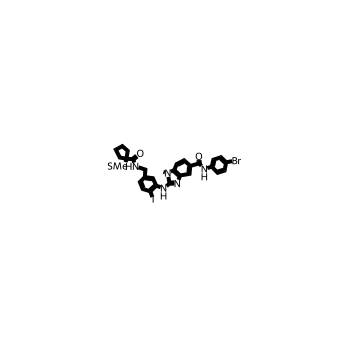 CSC1(C(=O)NCc2ccc(I)c(Nc3nc4cc(C(=O)Nc5ccc(Br)cc5)ccc4n3C)c2)CCCC1